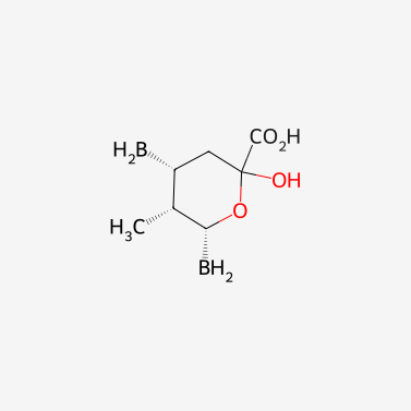 B[C@@H]1CC(O)(C(=O)O)O[C@H](B)[C@@H]1C